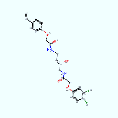 CCc1ccc(OCC(=O)NCC[C@H](O)CNC(=O)COc2ccc(Cl)c(F)c2)cc1